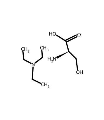 CCN(CC)CC.N[C@H](CO)C(=O)O